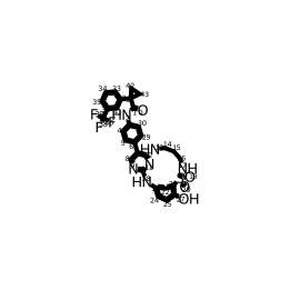 O=C(Nc1ccc(-c2cnc3nc2NCCCNS(=O)(=O)c2cc(ccc2O)N3)cc1)C1(c2cccc(C(F)(F)F)c2)CC1